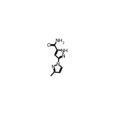 Cc1ccn(-c2cc(C(N)=O)[nH]n2)n1